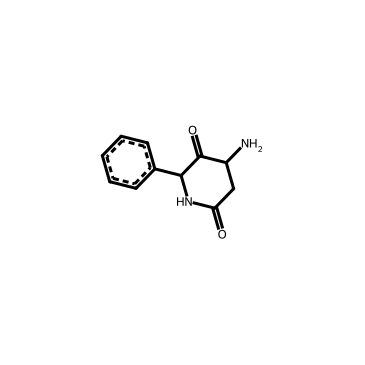 NC1CC(=O)NC(c2ccccc2)C1=O